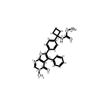 Cn1cnc2oc(-c3ccc(C4(NC(=O)OC(C)(C)C)CCC4)cc3)c(-c3ccccc3)c2c1=O